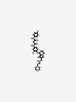 Cc1c(CNCCN2CCOCC2)cn2ncnc(Oc3ccc(NC(=O)CC(=O)Nc4ccc(F)cc4)cc3F)c12